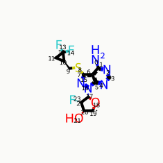 Nc1ncnc2c1c(SC[C@H]1CC1(F)F)nn2[C@@H]1O[CH][C@@H](O)[C@@H]1F